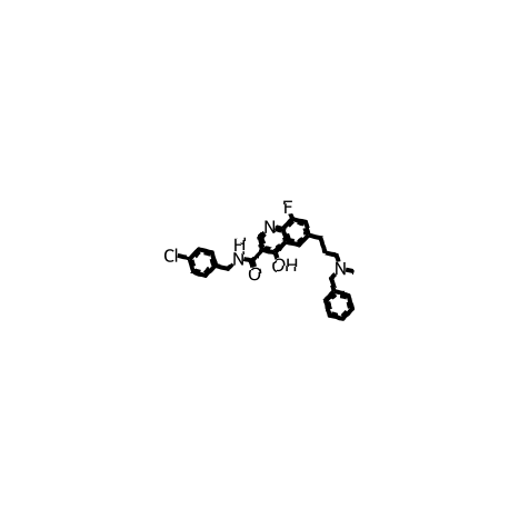 CN(CCCc1cc(F)c2ncc(C(=O)NCc3ccc(Cl)cc3)c(O)c2c1)Cc1ccccc1